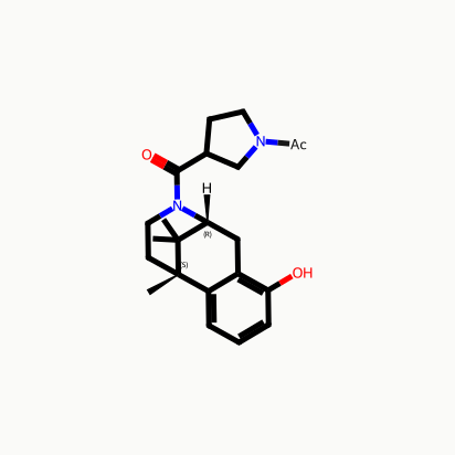 CC(=O)N1CCC(C(=O)N2CC[C@@]3(C)c4cccc(O)c4C[C@@H]2C3(C)C)C1